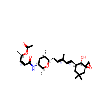 CC(=O)O[C@@H](C)/C=C\C(=O)N[C@@H]1C[C@H](C)[C@H](C/C=C(C)/C=C/[C@@H]2CC(C)(C)C[C@]3(CO3)[C@H]2O)O[C@@H]1C